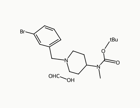 CN(C(=O)OC(C)(C)C)C1CCN(Cc2cccc(Br)c2)CC1.O=CO